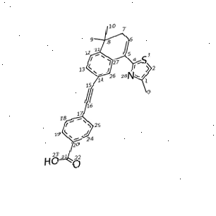 Cc1csc(C2=CCC(C)(C)c3ccc(C#Cc4ccc(C(=O)O)cc4)cc32)n1